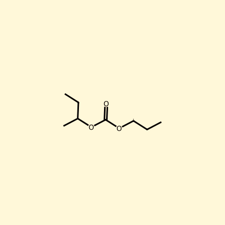 CC[CH]OC(=O)OC(C)CC